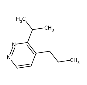 CCCc1ccnnc1C(C)C